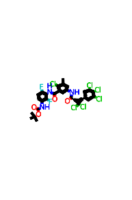 Cc1cc(NC(=O)[C@H]2[C@H](c3cc(Cl)c(Cl)c(Cl)c3)C2(Cl)Cl)cc(C(=O)Nc2c(F)ccc(NC(=O)OC(C)(C)C)c2F)c1Cl